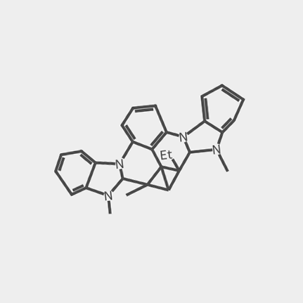 CCC12C3N(C)c4ccccc4N3c3cccc4c3C13C2C3(C)C1N(C)c2ccccc2N41